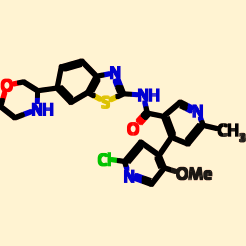 COc1cnc(Cl)cc1-c1cc(C)ncc1C(=O)Nc1nc2ccc(C3COCCN3)cc2s1